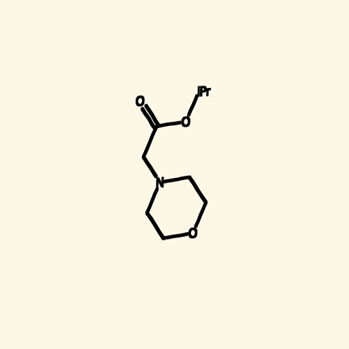 CC(C)OC(=O)CN1CCOCC1